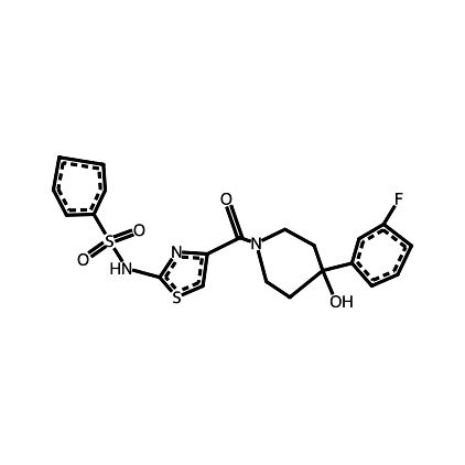 O=C(c1csc(NS(=O)(=O)c2ccccc2)n1)N1CCC(O)(c2cccc(F)c2)CC1